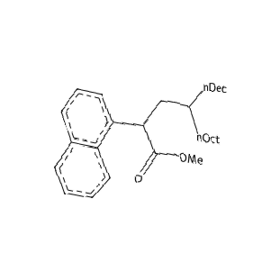 CCCCCCCCCCC(CCCCCCCC)CC(C(=O)OC)c1cccc2ccccc12